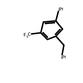 [CH2]C(C)c1cc(CC(C)C)cc(C(F)(F)F)c1